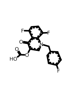 O=C(O)Oc1cn(Cc2ccc(F)cc2)c2c(F)ccc(F)c2c1=O